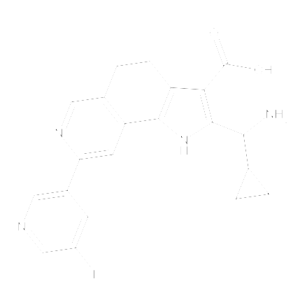 NC(c1[nH]c2c(c1C(=O)O)CCc1cnc(-c3cncc(F)c3)cc1-2)C1CC1